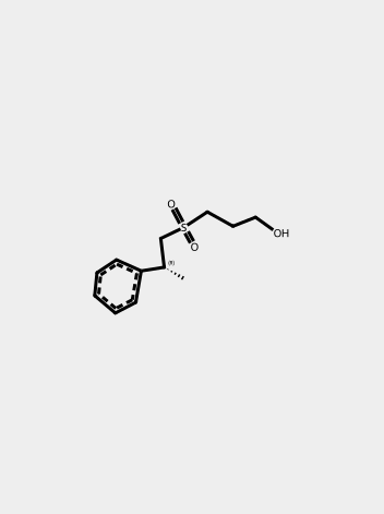 C[C@@H](CS(=O)(=O)CCCO)c1ccccc1